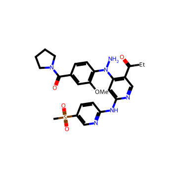 CCC(=O)c1cnc(Nc2ccc(S(C)(=O)=O)cn2)cc1N(N)c1ccc(C(=O)N2CCCC2)cc1OC